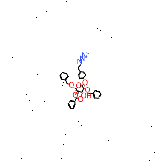 [N-]=[N+]=NCCc1ccc(O[C@@H]2OC(COCc3ccccc3)[C@H](OC(=O)c3ccccc3)C(O)C2OCc2ccccc2)cc1